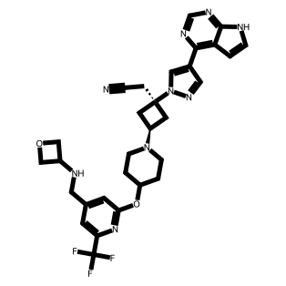 N#CC[C@]1(n2cc(-c3ncnc4[nH]ccc34)cn2)C[C@@H](N2CCC(Oc3cc(CNC4COC4)cc(C(F)(F)F)n3)CC2)C1